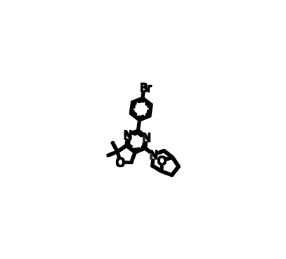 CC1(C)OCc2c(N3CC4CCC(C3)O4)nc(-c3ccc(Br)cc3)nc21